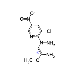 CO/C(N)=C/N(N)c1ncc([N+](=O)[O-])cc1Cl